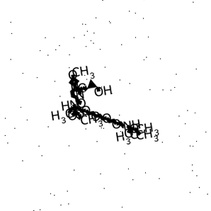 CCOC(=O)C(CC)(CCOCCOCCOCCOCCNC(=O)OC(C)(C)C)NC(=O)c1ccc(N2CC(OC)C2)c(OC[C@H]2C[C@@H]2CO)n1